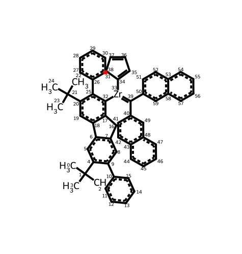 CC(C)(C)c1cc2c(cc1-c1ccccc1)Cc1c-2cc(C(C)(C)C)c(-c2ccccc2)[c]1[Zr]([C]1=CC=CC1)=[C](c1ccc2ccccc2c1)c1ccc2ccccc2c1